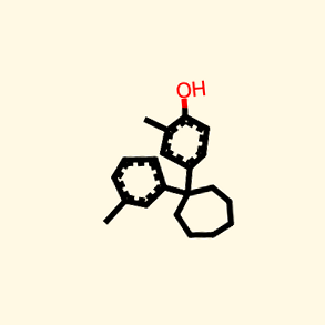 Cc1cccc(C2(c3ccc(O)c(C)c3)CCCCCC2)c1